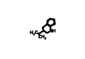 CC(C)C1CNc2ccccc2C1